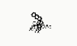 COC(=O)C1OC(Oc2ccc3cc4ccccc4cc3c2)C(OC(C)=O)C(CC(C)=O)C1OC(C)=O